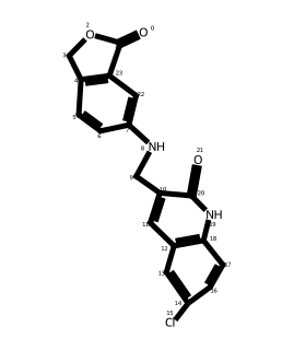 O=C1OCc2ccc(NCc3cc4cc(Cl)ccc4[nH]c3=O)cc21